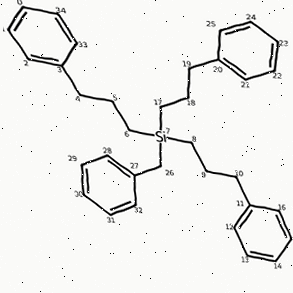 c1ccc(CCC[Si](CCCc2ccccc2)(CCCc2ccccc2)Cc2ccccc2)cc1